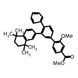 COC(=O)c1ccc(-c2ccc(-c3ccccc3)c(-c3ccc4c(c3)C(C)(C)CCC4(C)C)c2)c(OC)c1